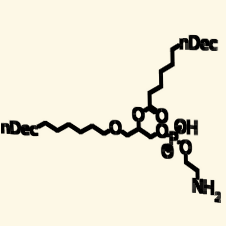 CCCCCCCCCCCCCCCCOCC(COP(=O)(O)OCCN)OC(=O)CCCCCCCCCCCCCCC